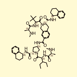 CCC(CC)[C@H](NC(=O)[C@H](C)NC)C(=O)N1C[C@@H](NC(=O)c2ccc3c(c2)CN(C(=O)[C@@H](NC(=O)[C@H](C)NC)C(C)(C)C)[C@H](C(=O)N[C@@H]2CCCc4ccccc42)C3)C[C@H]1C(=O)N[C@@H]1CCCc2ccccc21